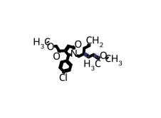 C=CC/C(=C\C=C(/C)OC)CN1C(=O)C=C(C(=O)COC)C1c1ccc(Cl)cc1